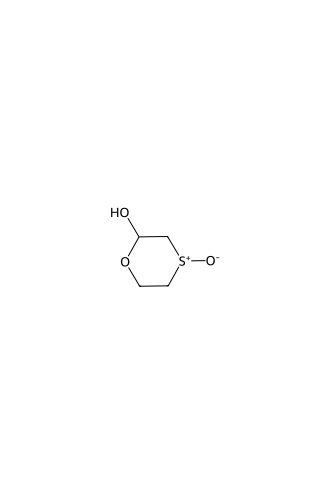 [O-][S+]1CCOC(O)C1